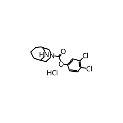 Cl.O=C(Oc1ccc(Cl)c(Cl)c1)N1CC2CCCC(C1)N2